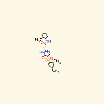 Cc1ccc(S(=O)(=O)c2cnc(SCC(=O)Nc3ccccc3C)[nH]c2=O)c(C)c1